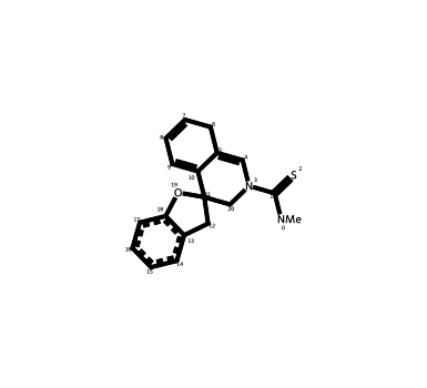 CNC(=S)N1C=C2CC=CC=C2C2(Cc3ccccc3O2)C1